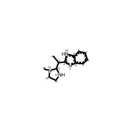 CC(c1nc2ccccc2[nH]1)C1NCCN1C